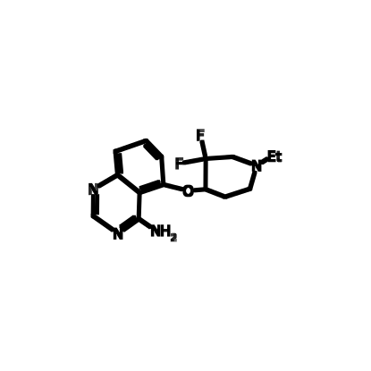 CCN1CCC(Oc2cccc3ncnc(N)c23)C(F)(F)C1